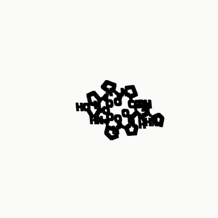 O=C(N[C@@H](CO)C(=O)N1CCC[C@H]1C(=O)N1CCC[C@H]1C(=O)N[C@@H](CO)C(=O)N1CCC[C@H]1C(=O)N1CCC[C@H]1C(=O)N1CCC[C@H]1C(=O)O)[C@@H]1CCCN1